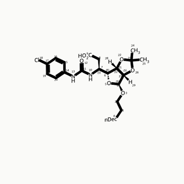 CCCCCCCCCCCCO[C@H]1O[C@H]([C@H](CC(=O)O)NC(=O)Nc2ccc(Cl)cc2)[C@@H]2OC(C)(C)O[C@H]12